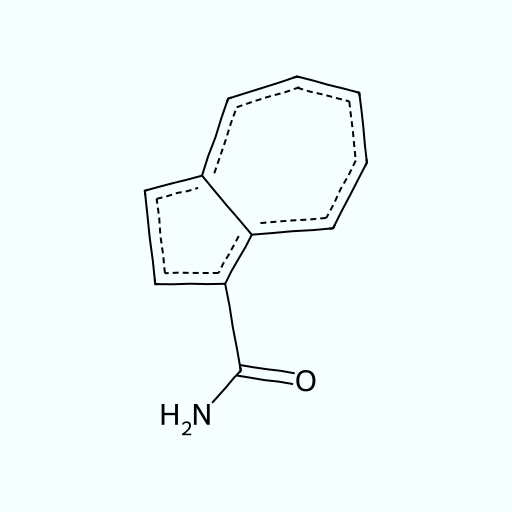 NC(=O)c1ccc2cccccc1-2